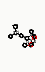 c1ccc(-c2cc(-c3ccc(-c4cc(-n5c6ccccc6c6ccccc65)c(N5c6ccccc6Sc6ccccc65)c(-n5c6ccccc6c6ccccc65)c4)cc3)nc(-c3ccccc3)n2)cc1